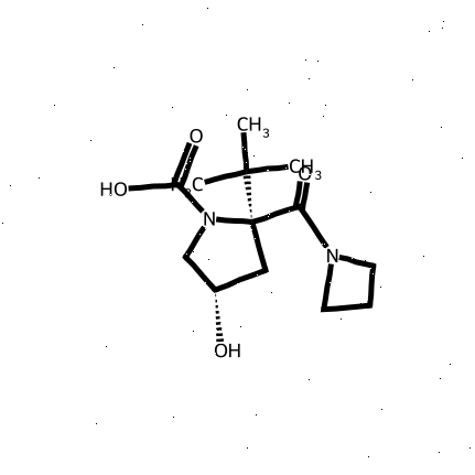 CC(C)(C)[C@]1(C(=O)N2CCC2)C[C@H](O)CN1C(=O)O